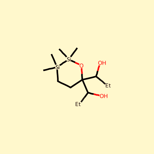 CCC(O)C1(C(O)CC)CC[Si](C)(C)[Si](C)(C)O1